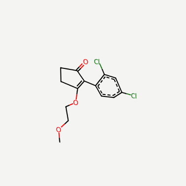 COCCOC1=C(c2ccc(Cl)cc2Cl)C(=O)CC1